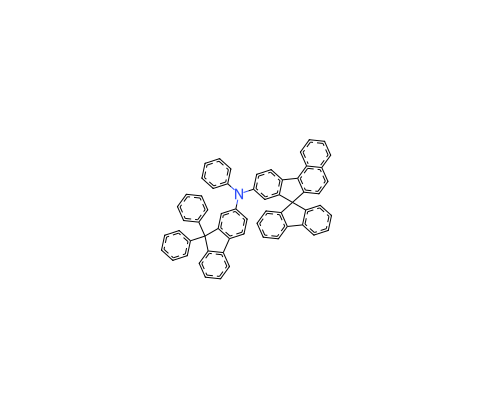 c1ccc(N(c2ccc3c(c2)C(c2ccccc2)(c2ccccc2)c2ccccc2-3)c2ccc3c(c2)C2(c4ccccc4-c4ccccc42)c2ccc4ccccc4c2-3)cc1